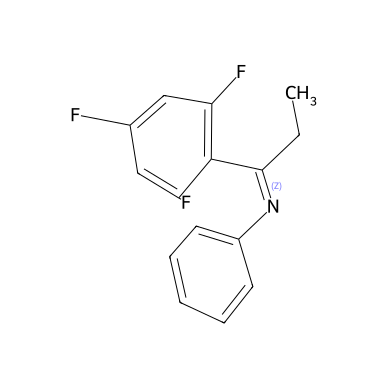 CC/C(=N/c1ccccc1)c1c(F)cc(F)cc1F